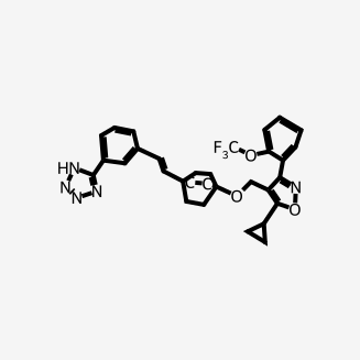 FC(F)(F)Oc1ccccc1-c1noc(C2CC2)c1COC12CCC(/C=C/c3cccc(-c4nnn[nH]4)c3)(CC1)CC2